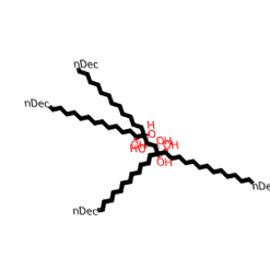 CCCCCCCCCCCCCCCCCCCCCCC(O)[C@](O)(CCCCCCCCCCCCCCCCCCCCCC)[C@@H](O)[C@H](O)[C@@](O)(CCCCCCCCCCCCCCCCCCCCCC)C(O)CCCCCCCCCCCCCCCCCCCCCC